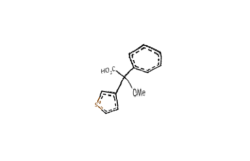 COC(C(=O)O)(c1ccccc1)c1ccsc1